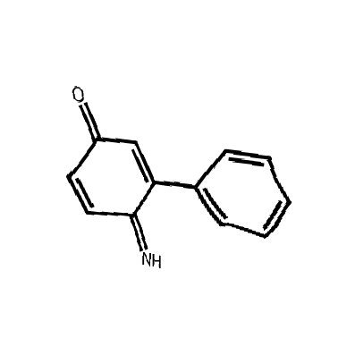 N=C1C=CC(=O)C=C1c1ccccc1